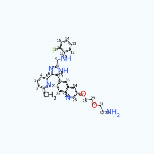 Cc1cccc(-c2nc(CNc3ccccc3F)[nH]c2-c2ccc3ncc(OCCOCCN)cc3c2)n1